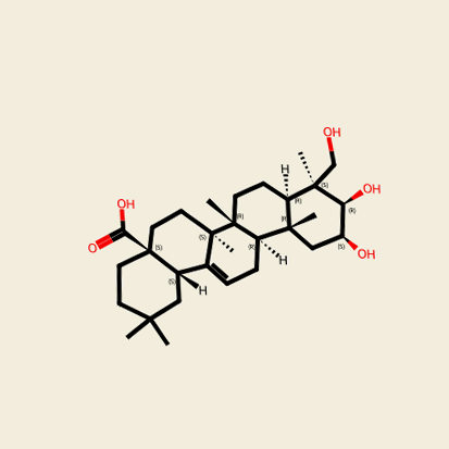 CC1(C)CC[C@]2(C(=O)O)CC[C@]3(C)C(=CC[C@@H]4[C@@]5(C)C[C@H](O)[C@H](O)[C@](C)(CO)[C@@H]5CC[C@]43C)[C@@H]2C1